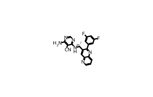 C[C@@H](Nc1ncnc(N)c1C#N)c1cc2ncccc2nc1-c1cc(F)cc(F)c1